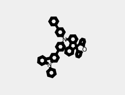 c1ccc(-c2ccc(N(c3ccc(-c4ccc5c(c4)c4ccccc4n5-c4ccccc4)cc3)c3cccc4c3-c3ccccc3C43c4ccccc4Oc4ccccc43)cc2)cc1